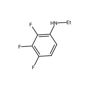 CCNc1ccc(F)c(F)c1F